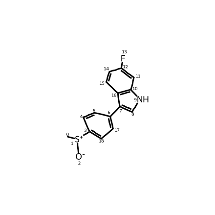 C[S+]([O-])c1ccc(-c2c[nH]c3cc(F)ccc23)cc1